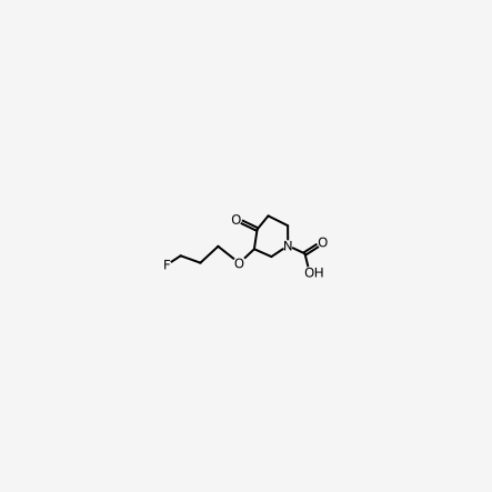 O=C1CCN(C(=O)O)CC1OCCCF